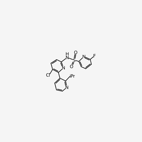 CC(C)c1ncccc1-c1nc(NS(=O)(=O)c2cccc(F)n2)ccc1Cl